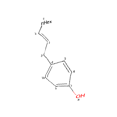 CCCCCC/C=C/Cc1ccc(O)cc1